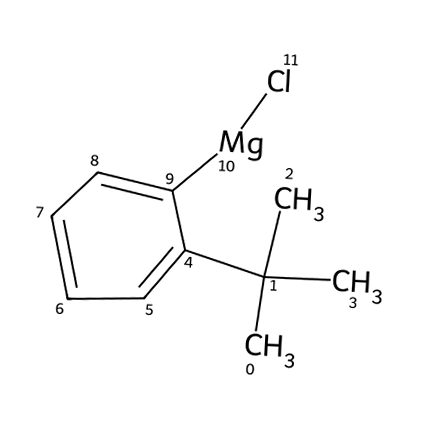 CC(C)(C)c1cccc[c]1[Mg][Cl]